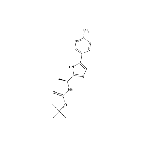 Bc1ccc(-c2cnc([C@H](C)NC(=O)OC(C)(C)C)[nH]2)cn1